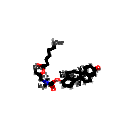 CCCCCCCCCCCCCCCC(=O)OC(CC(=O)[O-])C[N+](C)(C)C(=O)O[C@H]1CC[C@H]2[C@@H]3CCC4=CC(=O)CC[C@]4(C)[C@H]3CC[C@]12C